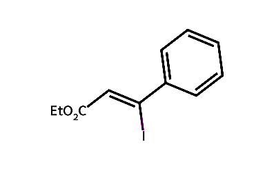 CCOC(=O)C=C(I)c1ccccc1